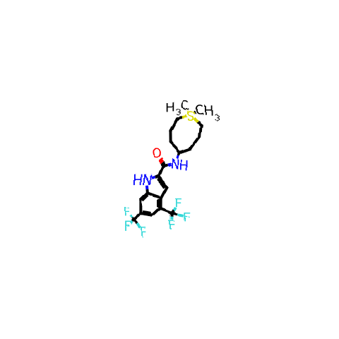 CS1(C)CCCC(NC(=O)c2cc3c(C(F)(F)F)cc(C(F)(F)F)cc3[nH]2)CCC1